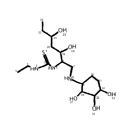 CCNC(=S)NC(CNC1CCC(O)C(O)C1O)C(O)CC(O)CC